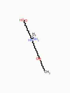 CCCCCCCCCCOC(=O)CCCCCCCCCCCCCNC(CCCCCCCCCCCCCC(=O)O)C(C)N